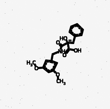 COc1cc(CNC(=O)[C@](O)(Cc2ccccc2)C(=O)O)cc(OC)c1